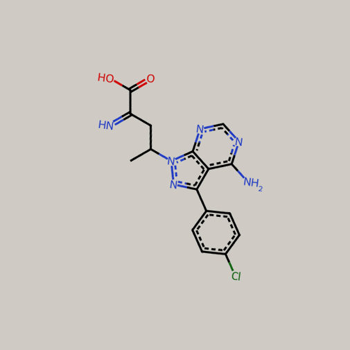 CC(CC(=N)C(=O)O)n1nc(-c2ccc(Cl)cc2)c2c(N)ncnc21